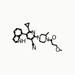 COCCC(=O)N1CCN(c2nc(C3CC3)c(-c3cccc4cc[nH]c34)cc2C#N)CC1C